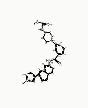 Cn1cc(-c2ccc3cnc(NC(=O)c4ccnc(N5CCC(NC(=O)O)CC5)c4)cc3c2)cn1